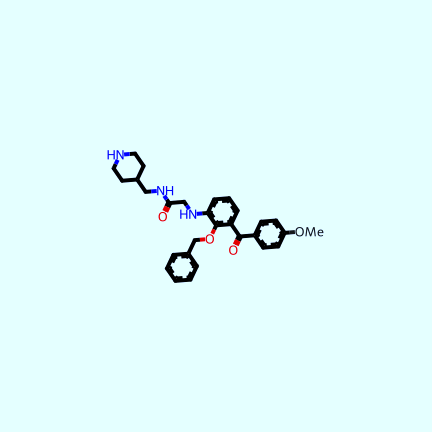 COc1ccc(C(=O)c2cccc(NCC(=O)NCC3CCNCC3)c2OCc2ccccc2)cc1